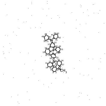 Cn1c2ccccc2c2c(N(c3ccccc3)c3ccc4c(c3)-c3ccccc3C43c4ccccc4-c4cc(N(c5ccccc5)c5ccccc5)ccc43)cccc21